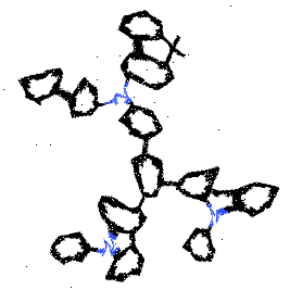 CC1(C)c2ccccc2-c2cc(N(c3ccc(-c4ccccc4)cc3)c3ccc(-c4cc(-c5ccc6c(c5)c5ccccc5n6-c5ccccc5)cc(-c5ccc6c7ccccc7n(-c7ccccc7)c6c5)c4)cc3)ccc21